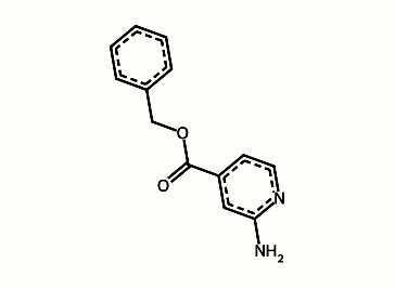 Nc1cc(C(=O)OCc2ccccc2)ccn1